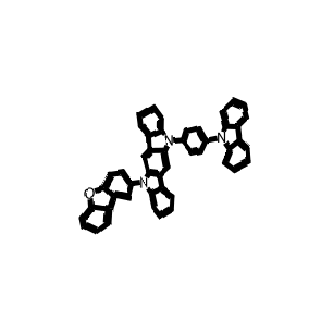 c1ccc2c(c1)oc1ccc(-n3c4ccccc4c4cc5c(cc43)c3ccccc3n5-c3ccc(-n4c5ccccc5c5ccccc54)cc3)cc12